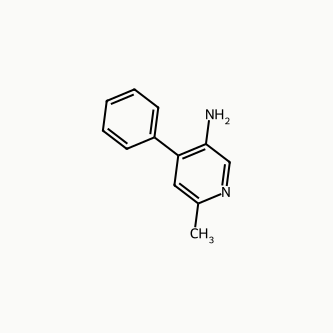 Cc1cc(-c2ccccc2)c(N)cn1